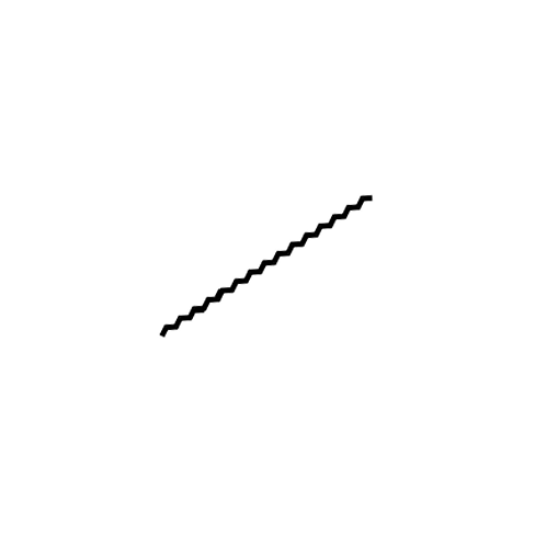 CCCCCC=CCC=CCCCCCCCCCCCCCCCCCCCCC